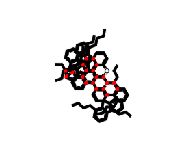 CCCCc1cccc(CCCC)c1C1C(OP(OC2=CC=CC(c3ccccc3)(c3c(CCCC)cccc3CCCC)C2c2c(CCCC)cccc2CCCC)OC2=CC=CC(c3ccccc3)(c3c(CCCC)cccc3CCCC)C2c2c(CCCC)cccc2CCCC)=CC=CC1(c1ccccc1)c1c(CCCC)cccc1CCCC